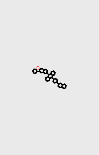 c1ccc2cc(-c3ccc(-c4c5ccccc5c(-c5ccc6cc7oc8ccccc8c7cc6c5)c5ccccc45)cc3)ccc2c1